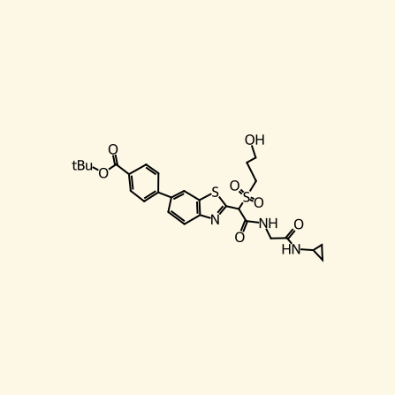 CC(C)(C)OC(=O)c1ccc(-c2ccc3nc(C(C(=O)NCC(=O)NC4CC4)S(=O)(=O)CCCO)sc3c2)cc1